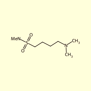 CNS(=O)(=O)CCCCN(C)C